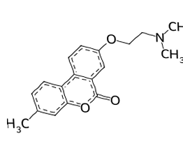 Cc1ccc2c(c1)oc(=O)c1cc(OCCN(C)C)ccc12